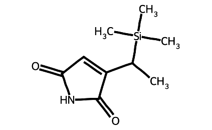 CC(C1=CC(=O)NC1=O)[Si](C)(C)C